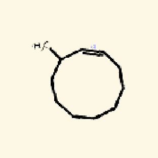 [CH2]C1/C=C\CCCCCCC1